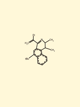 C=C(CC)C1=NC(C)C(C)c2c1cc(C(C)(C)C)c1ccccc21